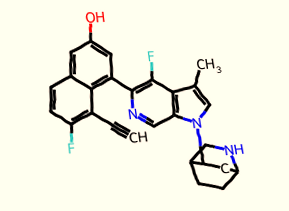 C#Cc1c(F)ccc2cc(O)cc(-c3ncc4c(c(C)cn4C4CC5CCC4CN5)c3F)c12